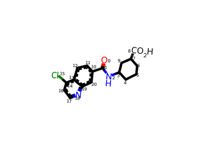 O=C(NC1CCCC(C(=O)O)C1)c1ccc2c(Cl)ccnc2c1